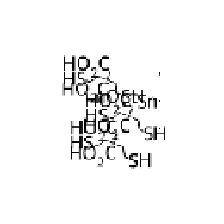 CCCCCCC[CH2][Sn].O=C(O)CC(CCS)(CCS)C(=O)O.O=C(O)CC(CCS)(CCS)C(=O)O.O=C(O)CC(CCS)(CCS)C(=O)O